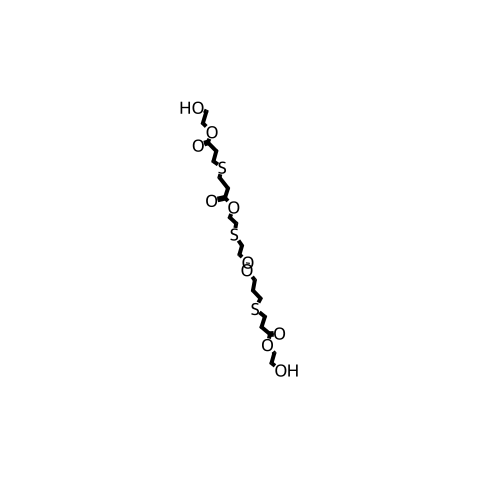 O=C(CCSCCCOOCCSCCOC(=O)CCSCCC(=O)OCCO)OCCO